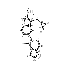 Cc1c(-c2ccc3nc(N)c(CC4C[C@@H]4F)n3c2)ccc2[nH]ccc12